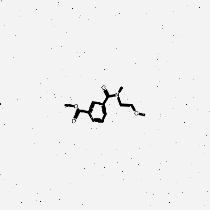 COCCN(C)C(=O)c1cccc(C(=O)OC)c1